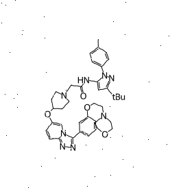 Cc1ccc(-n2nc(C(C)(C)C)cc2NC(=O)CN2CCC(Oc3ccc4nnc(-c5cccc(OCCN6CCOCC6)c5)n4c3)CC2)cc1